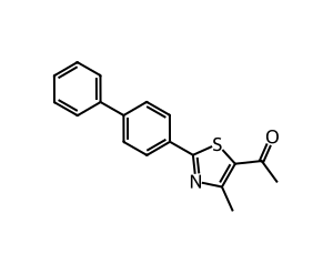 CC(=O)c1sc(-c2ccc(-c3ccccc3)cc2)nc1C